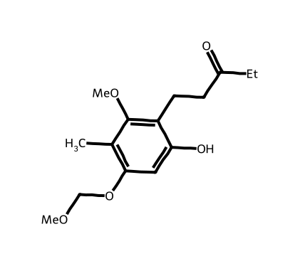 CCC(=O)CCc1c(O)cc(OCOC)c(C)c1OC